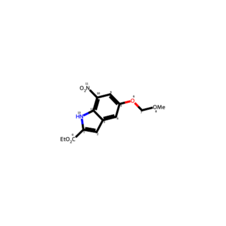 CCOC(=O)c1cc2cc(OCOC)cc([N+](=O)[O-])c2[nH]1